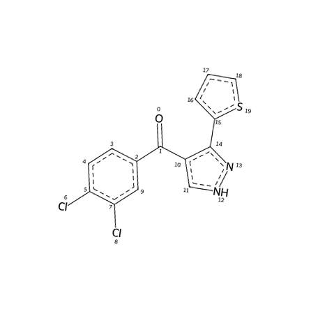 O=C(c1ccc(Cl)c(Cl)c1)c1c[nH]nc1-c1cccs1